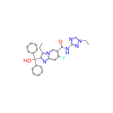 CCc1c(C(O)(c2ccccc2)c2ccccc2)nc2cc(F)c(C(=O)Nc3ncn(CC)n3)cn12